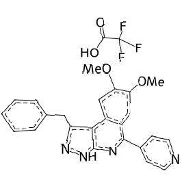 COc1cc2c(-c3ccncc3)nc3[nH]nc(Cc4ccccc4)c3c2cc1OC.O=C(O)C(F)(F)F